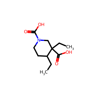 CCC1CCN(C(=O)O)CC1(CC)C(=O)O